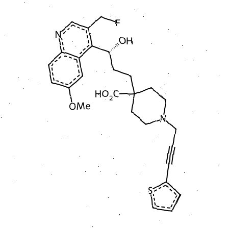 COc1ccc2ncc(CF)c([C@H](O)CCC3(C(=O)O)CCN(CC#Cc4cccs4)CC3)c2c1